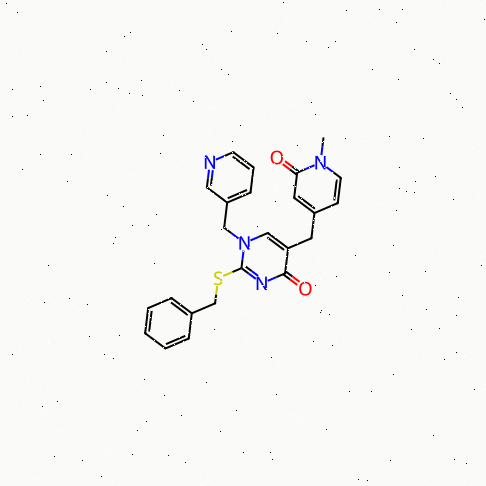 Cn1ccc(Cc2cn(Cc3cccnc3)c(SCc3ccccc3)nc2=O)cc1=O